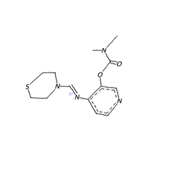 CN(C)C(=O)Oc1cnccc1/N=C/N1CCSCC1